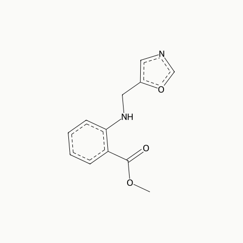 COC(=O)c1ccccc1NCc1cnco1